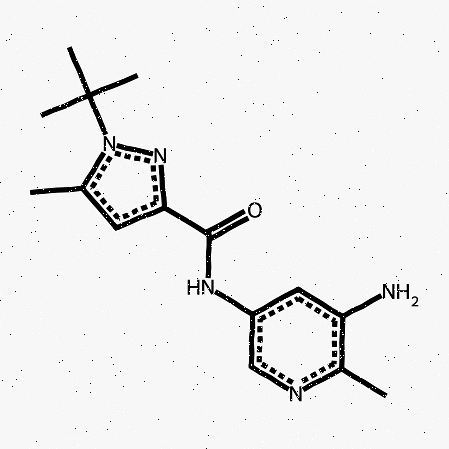 Cc1ncc(NC(=O)c2cc(C)n(C(C)(C)C)n2)cc1N